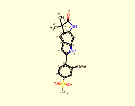 COc1cc(S(C)(=O)=O)ccc1-c1cc2cc3c(cc2[nH]1)NC(=O)C3(C)C